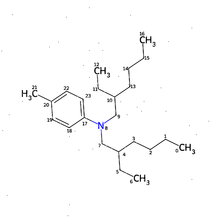 CCCCC(CC)CN(CC(CC)CCCC)c1ccc(C)cc1